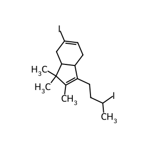 CC1=C(CCC(C)I)C2CC=C(I)CC2C1(C)C